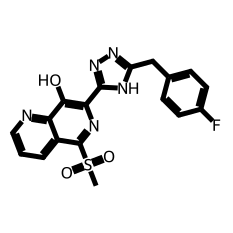 CS(=O)(=O)c1nc(-c2nnc(Cc3ccc(F)cc3)[nH]2)c(O)c2ncccc12